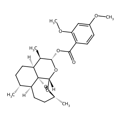 COc1ccc(C(=O)O[C@@H]2O[C@@H]3O[C@]4(C)CC[C@H]5[C@H](C)CC[C@@H]([C@H]2C)[C@@]35OO4)c(OC)c1